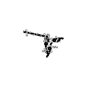 C=CCC1=CN2C(=O)c3cc(OC)c(OCCCOc4cc5c(cc4OC)C(=O)N4C=C(/C=C/C)C[C@H]4[C@H](O)N5C(=O)OCc4ccc(NC(=O)[C@H](C)NC(=O)[C@@H](NC(=O)CCOCCOCCOCCOCCNC(=O)CI)C(C)C)cc4)cc3N=C[C@@H]2C1